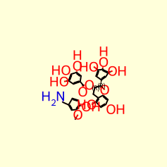 COc1cc(CN)ccc1O.O=C(O[C@@H]1Cc2c(O)cc(O)cc2O[C@@H]1c1cc(O)c(O)c(O)c1)c1cc(O)c(O)c(O)c1